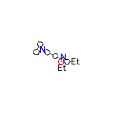 CCc1cc(CC)c2oc(-c3ccc(-c4ccc(-n5c6ccccc6c6ccccc65)cc4)cc3)nc2c1